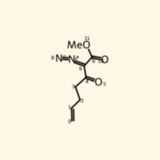 C=CCCC(=O)C(=[N+]=[N-])C(=O)OC